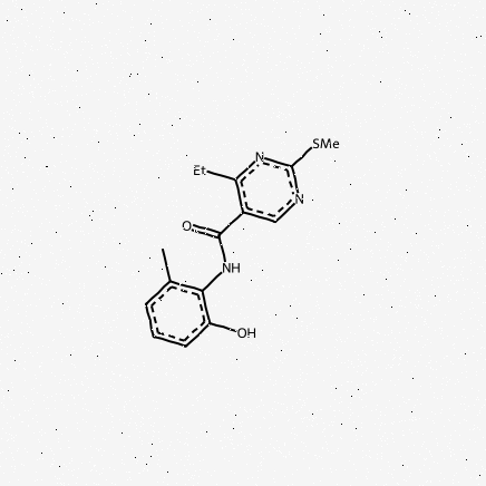 CCc1nc(SC)ncc1C(=O)Nc1c(C)cccc1O